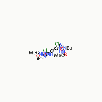 CCC(C)N(Cc1nc(Cl)c(-c2ccc(-c3ccc(-c4[nH]c(CN(CC(C)C)C(=O)CNC(=O)OC)nc4Cl)cc3)cc2)[nH]1)C(=O)CNC(=O)OC